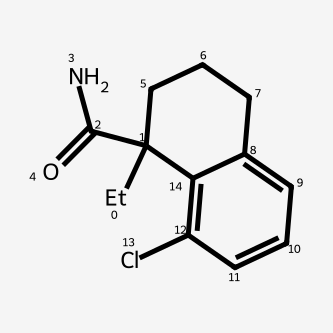 CCC1(C(N)=O)CCCc2cccc(Cl)c21